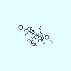 C=CCCN(Cc1ccc(C2=CCC2)cc1)C(=O)c1nc(-c2nnc(C(CC=C)(OCc3ccccc3)C(F)(F)F)o2)c(NC(=O)OC(C)(C)C)cc1C(F)(F)F